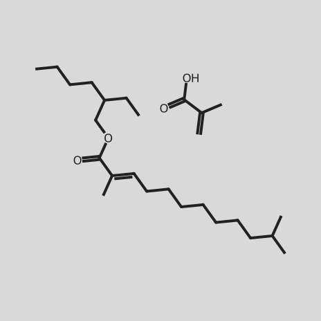 C=C(C)C(=O)O.CCCCC(CC)COC(=O)C(C)=CCCCCCCCC(C)C